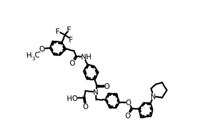 COc1ccc(CC(=O)Nc2ccc(C(=O)N(CC(=O)O)Cc3ccc(OC(=O)c4cccc(N5CCCCC5)c4)cc3)cc2)c(C(F)(F)F)c1